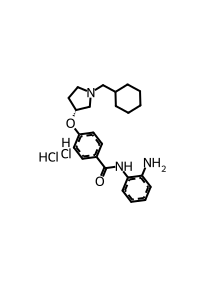 Cl.Cl.Nc1ccccc1NC(=O)c1ccc(O[C@@H]2CCN(CC3CCCCC3)C2)cc1